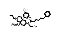 C=CCN1CC[C@@]2(c3cccc(O)c3)C[C@@H](N(CC(C)C)C(=O)CCCCCc3ccccc3)CC[C@]2(OC)C1